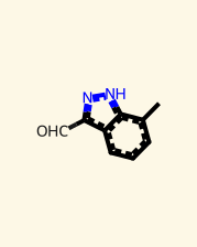 Cc1cccc2c(C=O)n[nH]c12